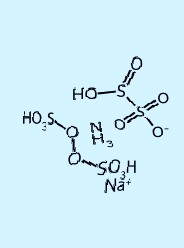 N.O=S(=O)(O)OOS(=O)(=O)O.O=S(O)S(=O)(=O)[O-].[Na+]